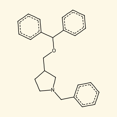 c1ccc(CN2CCC(COC(c3ccccc3)c3ccccc3)C2)cc1